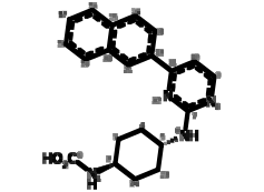 O=C(O)N[C@H]1CC[C@H](Nc2nccc(-c3ccc4ccccc4c3)n2)CC1